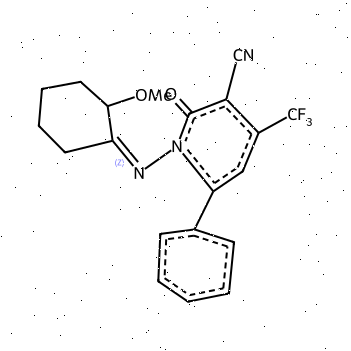 COC1CCCC/C1=N/n1c(-c2ccccc2)cc(C(F)(F)F)c(C#N)c1=O